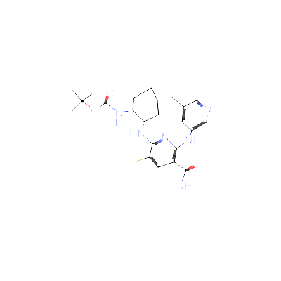 Cc1cncc(Nc2nc(N[C@@H]3CCCC[C@@H]3NC(=O)OC(C)(C)C)c(F)cc2C(N)=O)c1